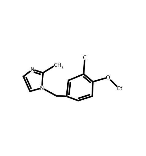 CCOc1ccc(Cn2ccnc2C)cc1Cl